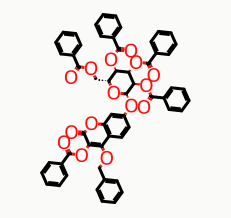 O=C(OC[C@H]1O[C@@H](Oc2ccc3c(OCc4ccccc4)c(OC(=O)c4ccccc4)c(=O)oc3c2)[C@H](OC(=O)c2ccccc2)[C@@H](OC(=O)c2ccccc2)[C@H]1OC(=O)c1ccccc1)c1ccccc1